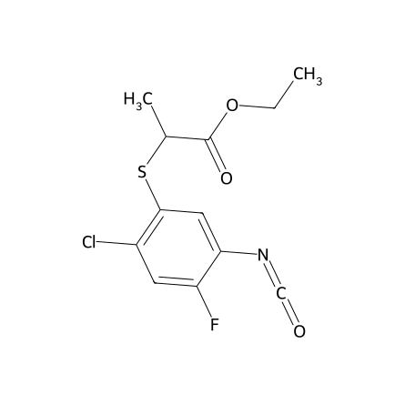 CCOC(=O)C(C)Sc1cc(N=C=O)c(F)cc1Cl